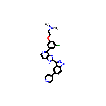 CN(C)CCOc1cc(F)cc(-c2nccc3[nH]c(-c4n[nH]c5ccc(C6=CCNCC6)cc45)nc23)c1